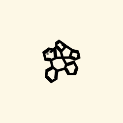 Brc1cccc2c1C1(c3ccccc3-c3ccccc3-c3ccccc31)c1ccccc1-2